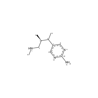 CNC[C@@H](C)C(C)c1cnc(N)nc1